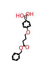 O=C(CCCOc1ccc(B(O)O)cc1)OCc1ccccc1